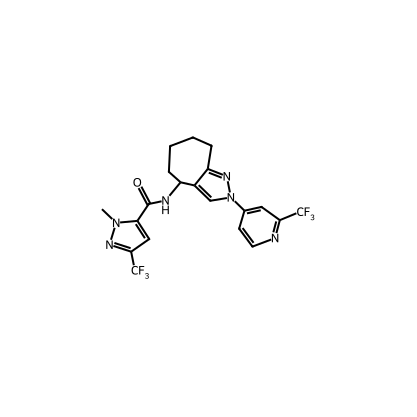 Cn1nc(C(F)(F)F)cc1C(=O)NC1CCCCc2nn(-c3ccnc(C(F)(F)F)c3)cc21